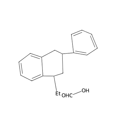 CCC1CC(c2ccccc2)Cc2ccccc21.O=CO